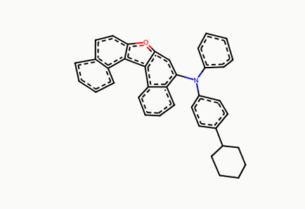 c1ccc(N(c2ccc(C3CCCCC3)cc2)c2cc3oc4ccc5ccccc5c4c3c3ccccc23)cc1